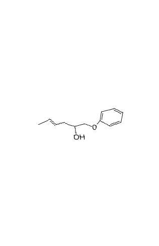 CC=CCC(O)COc1ccccc1